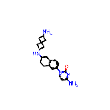 Nc1ccn(-c2ccc3c(c2)CCC(NC2CC4(CC(N)C4)C2)C3)c(=O)n1